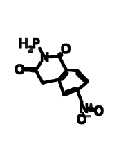 O=C1Cc2cc([N+](=O)[O-])ccc2C(=O)N1P